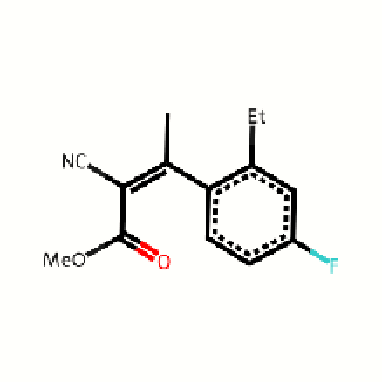 CCc1cc(F)ccc1/C(C)=C(/C#N)C(=O)OC